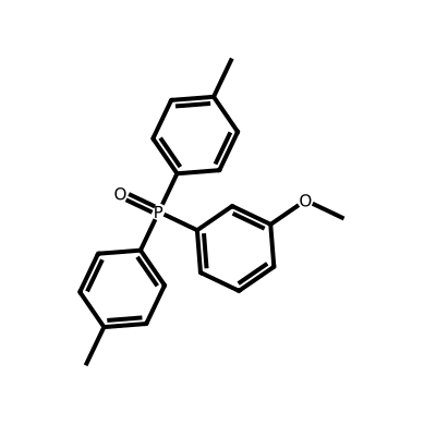 COc1cccc(P(=O)(c2ccc(C)cc2)c2ccc(C)cc2)c1